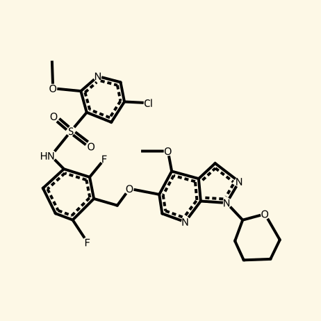 COc1ncc(Cl)cc1S(=O)(=O)Nc1ccc(F)c(COc2cnc3c(cnn3C3CCCCO3)c2OC)c1F